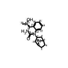 CN1C2CCC1CC(N(C(N)=O)c1ccccc1C=[N+](C)O)C2